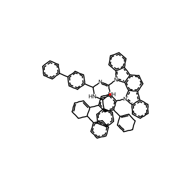 C1=CCC(c2ccccc2)C(c2ccc(-n3c4ccccc4c4ccc5c6ccccc6n(C6=NC(c7ccc(-c8ccccc8)cc7)NC(c7ccccc7)N6)c5c43)c(C3=CCCC=C3)c2)=C1